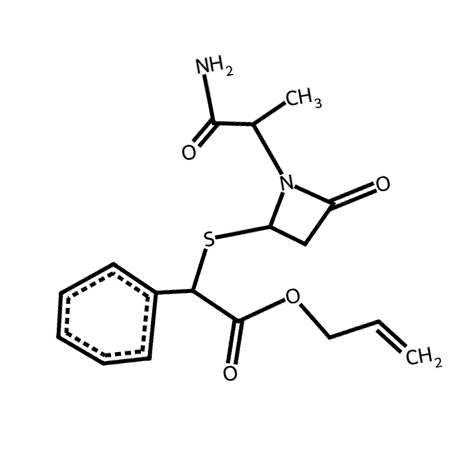 C=CCOC(=O)C(SC1CC(=O)N1C(C)C(N)=O)c1ccccc1